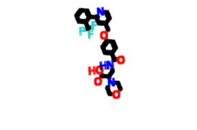 O=C(NCC(C(=O)O)N1CCOCC1)c1ccc(OCc2ccnc(-c3ccccc3C(F)(F)F)c2)cc1